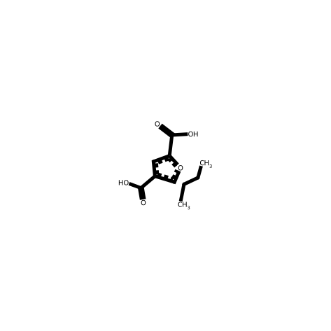 CCCC.O=C(O)c1coc(C(=O)O)c1